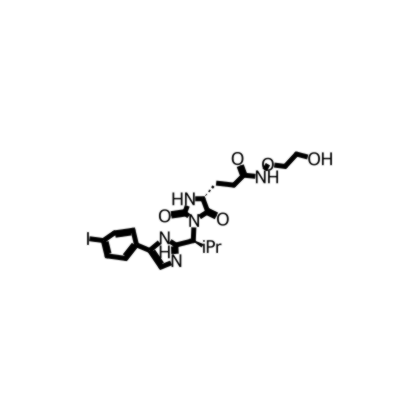 CC(C)[C@@H](c1ncc(-c2ccc(I)cc2)[nH]1)N1C(=O)N[C@H](CCC(=O)NOCCO)C1=O